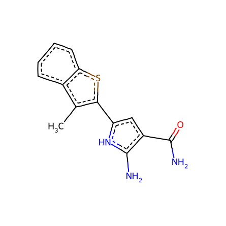 Cc1c(-c2cc(C(N)=O)c(N)[nH]2)sc2ccccc12